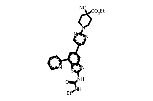 CCNC(=O)Nc1nc2cc(-c3cnc(N4CCC(C#N)(C(=O)OCC)CC4)nc3)cc(-c3ccccn3)c2s1